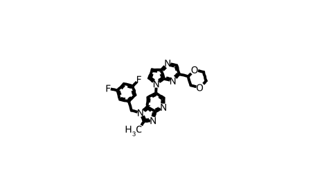 Cc1nc2ncc(-n3ccc4ncc(C5COCCO5)nc43)cc2n1Cc1cc(F)cc(F)c1